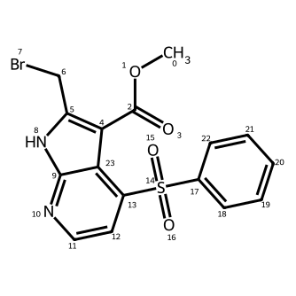 COC(=O)c1c(CBr)[nH]c2nccc(S(=O)(=O)c3ccccc3)c12